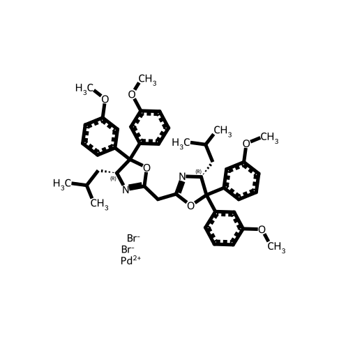 COc1cccc(C2(c3cccc(OC)c3)OC(CC3=N[C@H](CC(C)C)C(c4cccc(OC)c4)(c4cccc(OC)c4)O3)=N[C@@H]2CC(C)C)c1.[Br-].[Br-].[Pd+2]